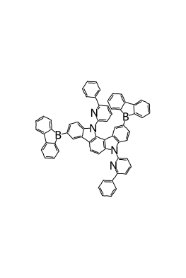 c1ccc(-c2cccc(-n3c4ccc(B5c6ccccc6-c6ccccc65)cc4c4c3ccc3c5cc(B6c7ccccc7-c7ccccc76)ccc5n(-c5cccc(-c6ccccc6)n5)c34)n2)cc1